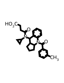 Cc1cccc(C(=O)N2c3ccccc3C(N(C(=O)CCC(=O)O)C3CC3)C3CCCC32)c1